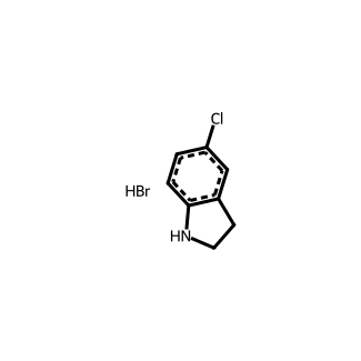 Br.Clc1ccc2c(c1)CCN2